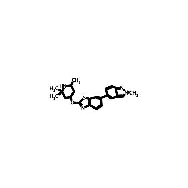 CC1CC(Oc2nc3ccc(-c4ccc5nn(C)cc5c4)cc3s2)CC(C)(C)N1